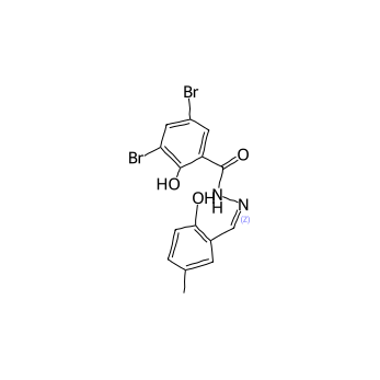 Cc1ccc(O)c(/C=N\NC(=O)c2cc(Br)cc(Br)c2O)c1